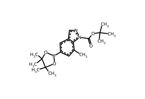 Cc1cc(B2OC(C)(C)C(C)(C)O2)cc2cnn(C(=O)OC(C)(C)C)c12